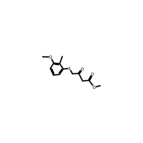 COC(=O)CC(=O)CSc1cccc(OC)c1C